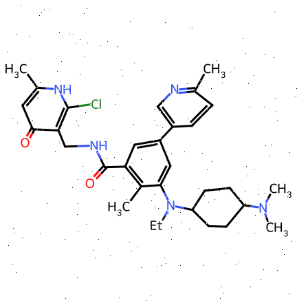 CCN(c1cc(-c2ccc(C)nc2)cc(C(=O)NCc2c(Cl)[nH]c(C)cc2=O)c1C)C1CCC(N(C)C)CC1